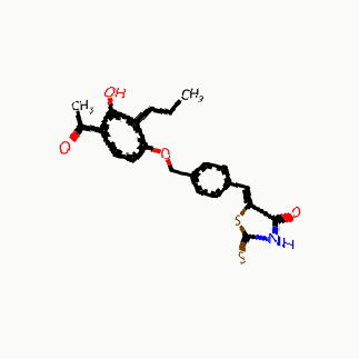 CCCc1c(OCc2ccc(/C=C3\SC(=S)NC3=O)cc2)ccc(C(C)=O)c1O